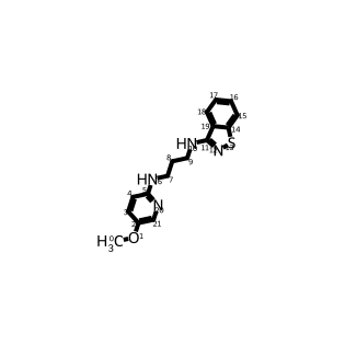 COc1ccc(NCCCNc2nsc3ccccc23)nc1